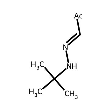 CC(=O)/C=N/NC(C)(C)C